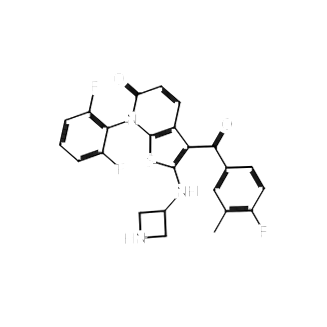 Cc1cc(C(=O)c2c(NC3CNC3)sc3c2ccc(=O)n3-c2c(F)cccc2F)ccc1F